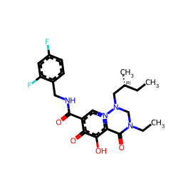 CC[C@@H](C)CN1CN(CC)C(=O)c2c(O)c(=O)c(C(=O)NCc3ccc(F)cc3F)cn21